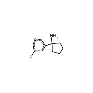 NC1(c2cccc(F)c2)CCCC1